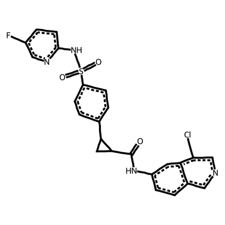 O=C(Nc1ccc2cncc(Cl)c2c1)C1CC1c1ccc(S(=O)(=O)Nc2ccc(F)cn2)cc1